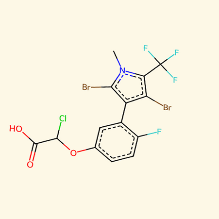 Cn1c(Br)c(-c2cc(OC(Cl)C(=O)O)ccc2F)c(Br)c1C(F)(F)F